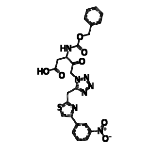 O=C(O)CC(NC(=O)OCc1ccccc1)C(=O)Cn1nnnc1Cc1nc(-c2cccc([N+](=O)[O-])c2)cs1